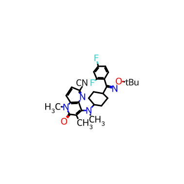 Cc1c(N(C)C2CCC(/C(=N/OC(C)(C)C)c3ccc(F)cc3F)CC2)c2nc(C#N)ccc2n(C)c1=O